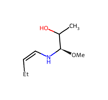 CC/C=C\N[C@H](OC)C(C)O